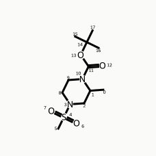 CC1CN(S(C)(=O)=O)CCN1C(=O)OC(C)(C)C